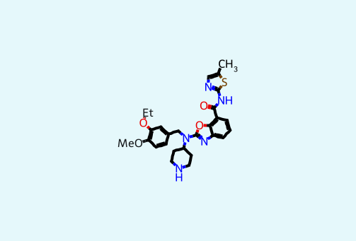 CCOc1cc(CN(c2nc3cccc(C(=O)Nc4ncc(C)s4)c3o2)C2CCNCC2)ccc1OC